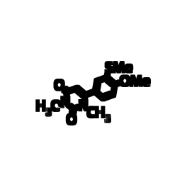 COc1ccc(-c2cc(=O)n(C)c(=O)n2C)cc1SC